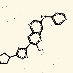 Nc1nc2cc(Nc3ccncn3)cnc2cc1-c1nnc(C2CCCC2)s1